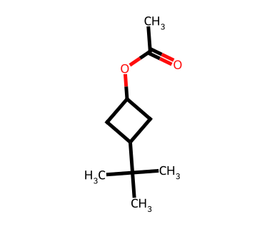 CC(=O)OC1CC(C(C)(C)C)C1